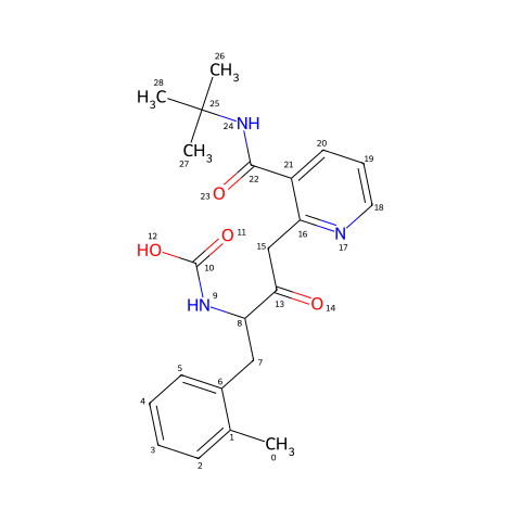 Cc1ccccc1CC(NC(=O)O)C(=O)Cc1ncccc1C(=O)NC(C)(C)C